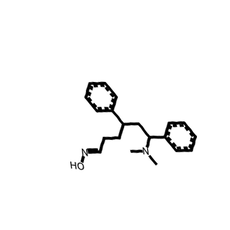 CN(C)C(CC(CCC=NO)c1ccccc1)c1ccccc1